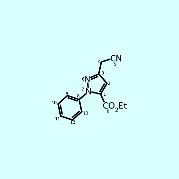 CCOC(=O)c1cc(CC#N)nn1-c1ccccc1